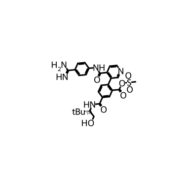 CC(C)(C)[C@@H](CO)NC(=O)c1ccc(-c2cnccc2C(=O)Nc2ccc(C(=N)N)cc2)c(C(=O)OS(C)(=O)=O)c1